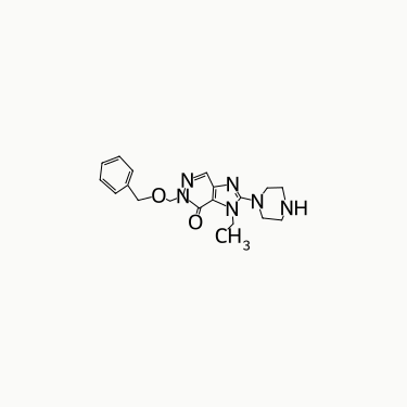 CCn1c(N2CCNCC2)nc2cnn(COCc3ccccc3)c(=O)c21